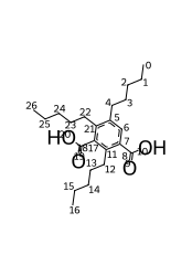 CCCCCc1cc(C(=O)O)c(CCCCC)c(C(=O)O)c1CCCCC